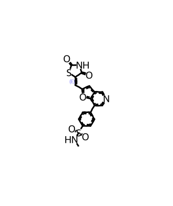 CNS(=O)(=O)c1ccc(-c2cncc3cc(/C=C4/SC(=O)NC4=O)oc23)cc1